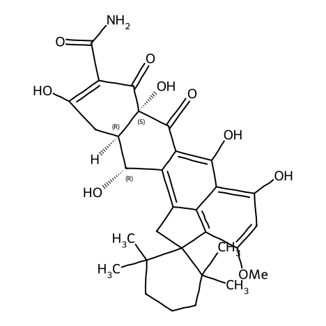 COc1cc(O)c2c(O)c3c(c4c2c1C1(C4)C(C)(C)CCCC1(C)C)[C@H](O)[C@H]1CC(O)=C(C(N)=O)C(=O)[C@@]1(O)C3=O